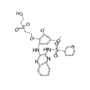 COc1cc(Nc2nc3ccccc3nc2NS(=O)(=O)c2cccnc2)c(OCCS(=O)(=O)CCO)c(OC)c1